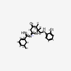 CCc1ccccc1NCC1(C)N/C(=N/C(=N)C2=CC=CC(C)C2)CC(=O)C1C